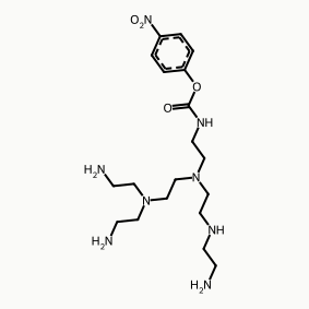 NCCNCCN(CCNC(=O)Oc1ccc([N+](=O)[O-])cc1)CCN(CCN)CCN